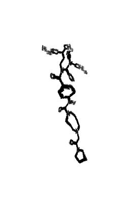 CC(C)CCN(C(=O)c1ccc(NC(=O)N2CCN(CC(=O)N3CCCC3)CC2)cc1)C(=O)N(C)C#N